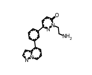 NCCn1nc(-c2cccc(-c3cccn4nccc34)c2)ccc1=O